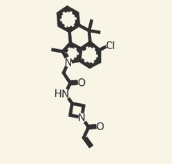 C=CC(=O)N1CC(NC(=O)Cn2c(C)c3c4c(c(Cl)ccc42)C(C)(C)c2ccccc2-3)C1